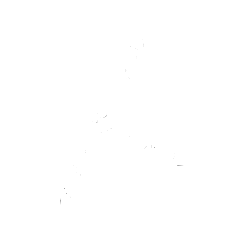 C=CC(=O)OCCNC(=O)CCOCCC[Si]1(C)O[Si](C)(C)O[Si](C)(CCCOCCC(=O)NCCOC(=O)C=C)O[Si](C)(CCCOCCC(=O)NCCOC(=O)C=C)O1